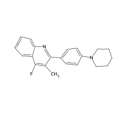 Cc1c(-c2ccc(N3CCCCC3)cc2)nc2ccccc2c1F